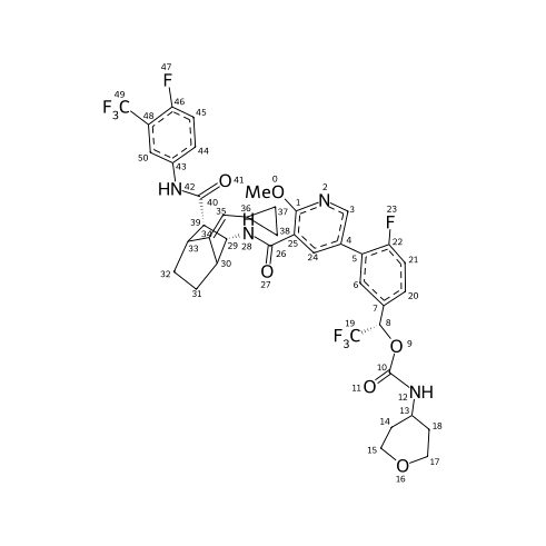 COc1ncc(-c2cc([C@H](OC(=O)NC3CCOCC3)C(F)(F)F)ccc2F)cc1C(=O)N[C@@H]1C2CCC(/C2=C/C2CC2)[C@@H]1C(=O)Nc1ccc(F)c(C(F)(F)F)c1